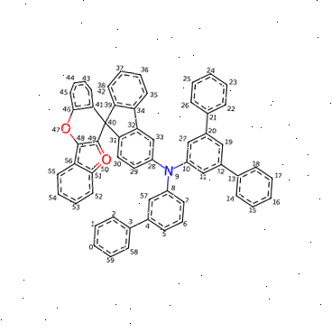 c1ccc(-c2cccc(N(c3cc(-c4ccccc4)cc(-c4ccccc4)c3)c3ccc4c(c3)-c3ccccc3C43c4ccccc4Oc4c3oc3ccccc43)c2)cc1